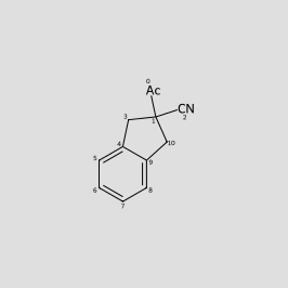 CC(=O)C1(C#N)Cc2ccccc2C1